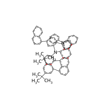 CC(C)(C)c1cc(-c2cccc3cccc(-c4ccccc4N(c4cc(-c5cccc6ccccc56)ccc4-c4ccccc4)c4cccc5c6ccccc6n(-c6ccccc6)c45)c23)cc(C(C)(C)C)c1